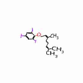 CC(C)=CCCC(C)=CCOc1c(I)cc(I)cc1I